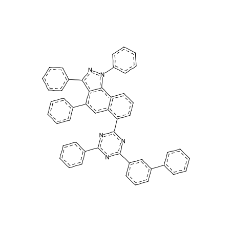 c1ccc(-c2cccc(-c3nc(-c4ccccc4)nc(-c4cccc5c4cc(-c4ccccc4)c4c(-c6ccccc6)nn(-c6ccccc6)c45)n3)c2)cc1